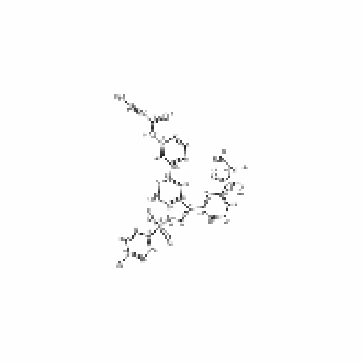 CCC#CC(=O)Nc1cccc(-c2cnc3c(c2)c(-c2cccc(S(=O)(=O)N(C)C(C)(C)C)c2)cn3S(=O)(=O)c2ccc(C)cc2)c1